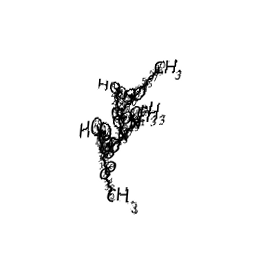 CCCCCCCOC(=O)CCCC(CCCC(=O)O)OC(=O)OCCN(CCCN(CC)CC)CCOC(=O)OC(CCCC(=O)O)CCCC(=O)OCCCCCCC